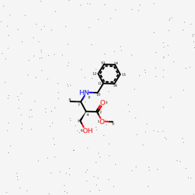 COC(=O)[C@@H](CO)C(C)NCc1ccccc1